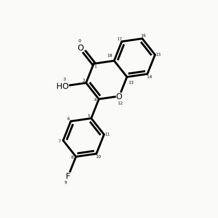 O=c1c(O)c(-c2ccc(F)cc2)oc2ccccc12